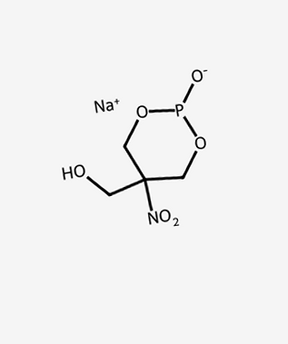 O=[N+]([O-])C1(CO)COP([O-])OC1.[Na+]